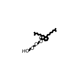 CC(C)CCCCCc1cccc(C(=O)OCCOCCOCCO)c1CCCCCC(C)C